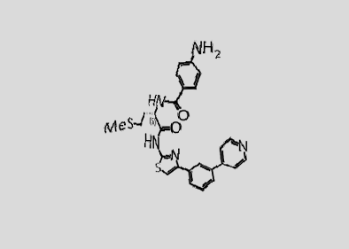 CSCC[C@H](NC(=O)c1ccc(N)cc1)C(=O)Nc1nc(-c2cccc(-c3ccncc3)c2)cs1